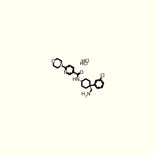 Cl.Cl.NC[C@]1(c2cccc(Cl)c2)CC[C@@H](NC(=O)c2ccc(N3CCOCC3)nc2)CC1